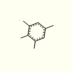 CC(C)c1cc(C(=O)O)c(N)c(C(C)C)c1